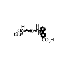 CC(C)(C)OC(=O)NCCCCOCCNc1nc2cc(C(=O)O)ccc2c2cnccc12